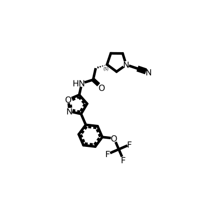 N#CN1CC[C@@H](CC(=O)Nc2cc(-c3cccc(OC(F)(F)F)c3)no2)C1